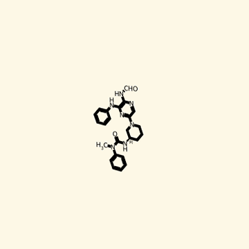 CN(C(=O)N[C@@H]1CCCN(c2cnc(NC=O)c(Nc3ccccc3)n2)C1)c1ccccc1